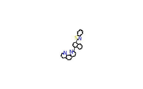 c1cnc2c(c1)ccc1ccc(-c3ccc(-c4nc5ccccc5s4)c4ccccc34)nc12